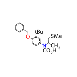 CSCC(C)N(C(=O)O)c1ccc(OCc2ccccc2)c(C(C)(C)C)c1